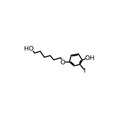 OCCCCCCOc1ccc(O)c(I)c1